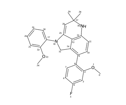 COc1cc(F)ccc1-c1ccc2c3c1CN(c1ccccc1OC)C3=CC(C)(C)N2